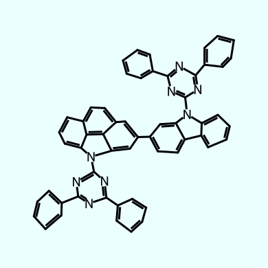 c1ccc(-c2nc(-c3ccccc3)nc(-n3c4ccccc4c4ccc(-c5cc6ccc7cccc8c7c6c(c5)n8-c5nc(-c6ccccc6)nc(-c6ccccc6)n5)cc43)n2)cc1